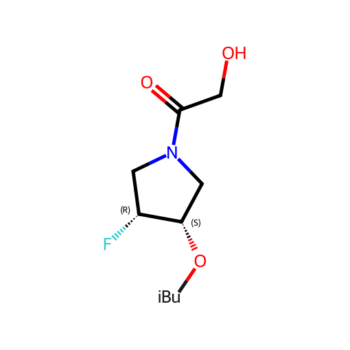 CCC(C)O[C@H]1CN(C(=O)CO)C[C@H]1F